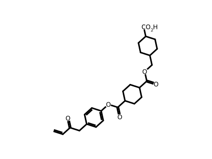 C=CC(=O)Cc1ccc(OC(=O)C2CCC(C(=O)OCC3CCC(C(=O)O)CC3)CC2)cc1